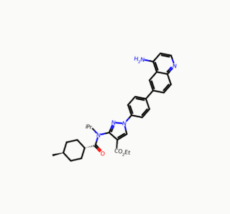 CCOC(=O)c1cn(-c2ccc(-c3ccc4nccc(N)c4c3)cc2)nc1N(C(=O)[C@H]1CC[C@H](C)CC1)C(C)C